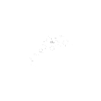 CC[C@H](C)[C@@H]([C@@H](CC(=O)N1CCC[C@H]1[C@H](OC)[C@@H](C)C(=O)N[C@@H](Cc1ccccc1)c1nc(C(=O)NCCN(C)C(=O)OC(C)(C)C)cs1)OC)N(C)C(=O)[C@@H](NC(=O)[C@H](C(C)C)N(C)C)C(C)C